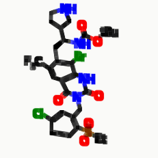 CCS(=O)(=O)c1ccc(Cl)cc1Cn1c(=O)[nH]c2c(Br)c(C[C@H](NC(=O)OC(C)(C)C)C3CCNC3)c(C(F)(F)F)cc2c1=O